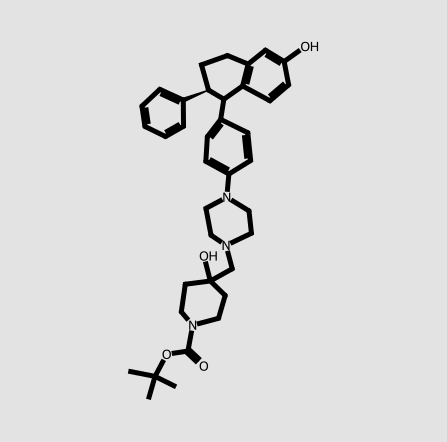 CC(C)(C)OC(=O)N1CCC(O)(CN2CCN(c3ccc(C4c5ccc(O)cc5CC[C@@H]4c4ccccc4)cc3)CC2)CC1